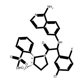 CCS(=O)(=O)c1ccccc1[C@H]1[C@@H](C(=O)O)CCN1C(=O)C(Nc1ccc2c(N)nccc2c1)c1cc(Cl)ccc1F